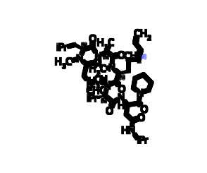 C=C/C=C\C(=C)C[C@@H](C(=O)N(C)[C@H](C(=O)NC(CC(=O)NC(C)C)C(=O)N1CCCCC1)C(C)C)N(C)C(=O)[C@H](C)NC(=O)[C@H](CC(C)C)N(C)C(=O)CN(C)C=O